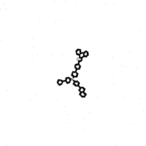 c1ccc(-c2ccc(N(c3ccc(-c4ccc(-c5cc6c7ccccc7c7ccccc7c6o5)cc4)cc3)c3ccc(-c4ccc5ccccc5c4)cc3)cc2)cc1